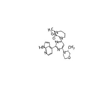 C[C@@H]1COCCN1c1cc(N2CCCN(C)S2(=O)=O)nc(-c2ccnc3[nH]ccc23)n1